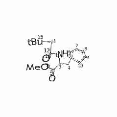 COC(=O)C(Cc1ccccc1)NC(=O)CC(C)(C)C